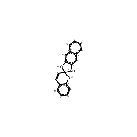 C1=CC2(Nc3cc4ccccc4cc3O2)Oc2ccccc21